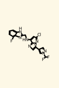 Fc1cccc2[nH]c(CNc3cc(Cl)nn4c(-c5cnn(C(F)F)c5)cnc34)nc12